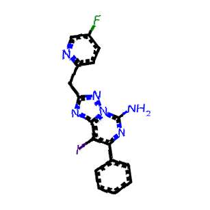 Nc1nc(-c2ccccc2)c(I)c2nc(Cc3ccc(F)cn3)nn12